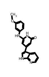 COc1cccc(Nc2cc(-c3c[nH]c4ncccc34)cc(=O)[nH]2)c1